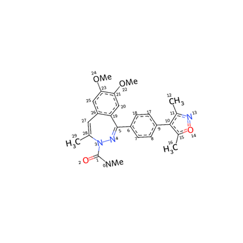 CNC(=O)N1N=C(c2ccc(-c3c(C)noc3C)cc2)c2cc(OC)c(OC)cc2C=C1C